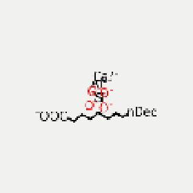 CCCCCCCCCCCCCCCCCC(=O)[O-].[Al+3].[Ca+2].[O-][Si]([O-])([O-])[O-]